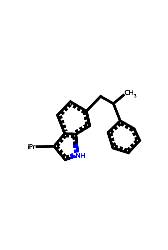 CC(C)c1c[nH]c2cc(CC(C)c3ccccc3)ccc12